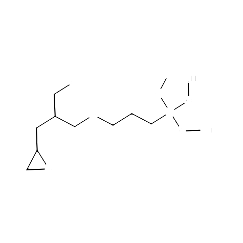 CCC(COCCC[Si](OC)(OC)OC)CC1CO1